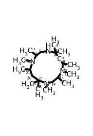 CC1CNC(C)(C)CC(C)N(C)C(C)CN(C)C(C)(C)CC(C)N1C